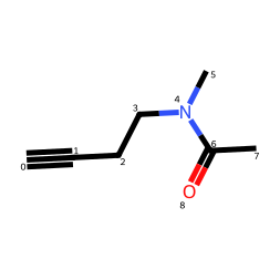 C#CCCN(C)C(C)=O